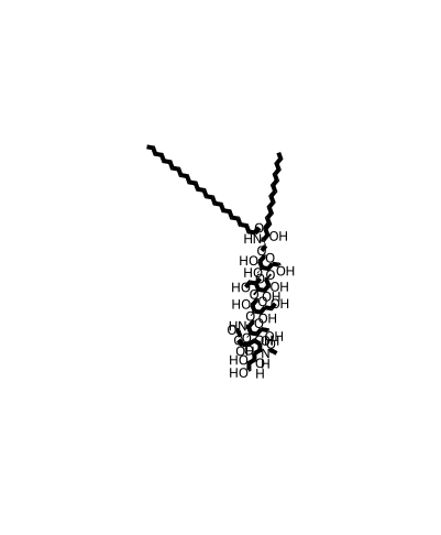 CCCCCCCCCCCCC/C=C/[C@@H](O)[C@H](CO[C@@H]1OC(CO)[C@@H](O[C@@H]2OC(CO)[C@H](O[C@@H]3OC(CO)[C@H](O)[C@H](O[C@@H]4OC(CO)[C@H](O)[C@H](O[C@]5(C(=O)O)CC(O)[C@@H](NC(C)=O)C([C@H](O)[C@H](O)CO)O5)C4NC(C)=O)C3O)[C@H](O)C2O)[C@H](O)C1O)NC(=O)CCCCCCCCCCCCCCCCCCCCCCCCC